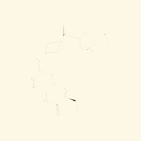 Cc1nc(NC2CN(C(=O)c3cc(C(F)(F)F)nn3C)C2)nc2c1NC(=O)[C@H](C(C)C)N2C